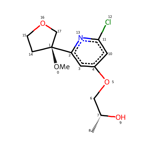 CO[C@@]1(c2cc(OC[C@@H](C)O)cc(Cl)n2)CCOC1